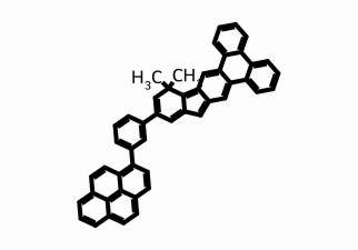 CC1(C)C=C(c2cccc(-c3ccc4ccc5cccc6ccc3c4c56)c2)C=C2C=c3cc4c5ccccc5c5ccccc5c4cc3=C21